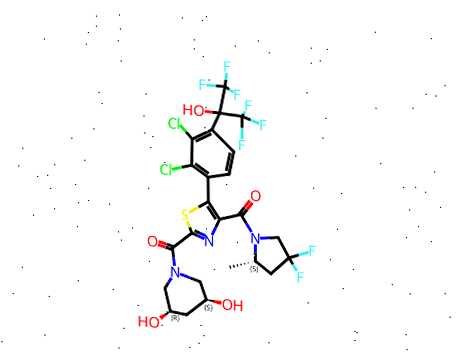 C[C@H]1CC(F)(F)CN1C(=O)c1nc(C(=O)N2C[C@H](O)C[C@H](O)C2)sc1-c1ccc(C(O)(C(F)(F)F)C(F)(F)F)c(Cl)c1Cl